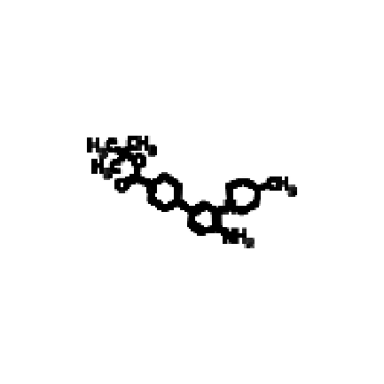 CC1CCN(c2cc(C3CCN(C(=O)OC(C)(C)C)CC3)ccc2N)CC1